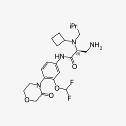 CC(C)CN(C1CCC1)[C@@H](CN)C(=O)Nc1ccc(N2CCOCC2=O)c(OC(F)F)c1